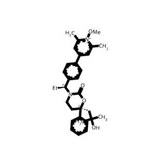 CC[C@@H](c1ccc(-c2cc(C)[n+](OC)c(C)c2)cc1)N1CC[C@](CC(C)(C)O)(c2ccccc2)OC1=O